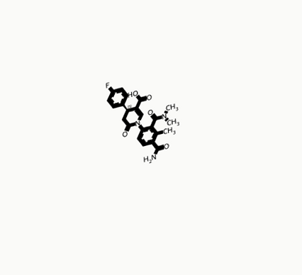 Cc1c(C(N)=O)ccc(N2C=C(C(=O)O)[C@H](c3ccc(F)cc3)CC2=O)c1C(=O)N(C)C